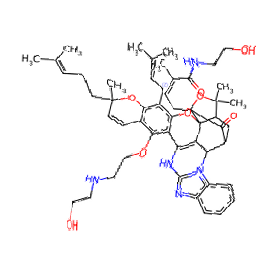 CC(C)=CCCC1(C)C=Cc2c(c(CC=C(C)C)c3c(c2OCCNCCO)C2=C4C(C5CC6C(C)(C)OC(C/C=C(/C)C(=O)NCCO)(C5=O)C46O3)n3c(nc4ccccc43)N2)O1